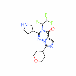 O=c1c2cnc(C3CCOCC3)n2nc(C2CCNC2)n1C(F)C(F)F